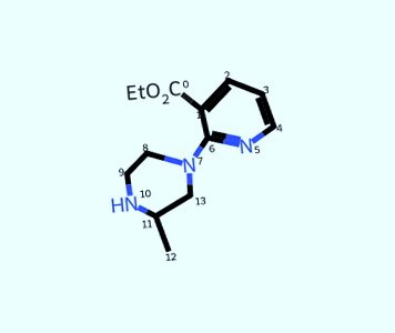 CCOC(=O)c1cccnc1N1CCNC(C)C1